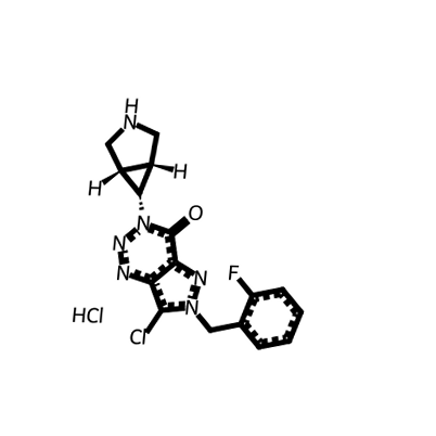 Cl.O=c1c2nn(Cc3ccccc3F)c(Cl)c2nnn1[C@@H]1[C@@H]2CNC[C@@H]21